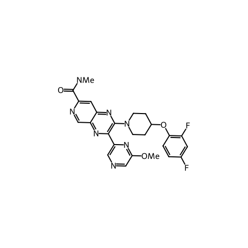 CNC(=O)c1cc2nc(N3CCC(Oc4ccc(F)cc4F)CC3)c(-c3cncc(OC)n3)nc2cn1